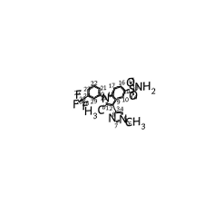 Cc1c(-c2cn(C)cn2)c2cc(S(N)(=O)=O)ccc2n1-c1cccc(C(F)(F)F)c1